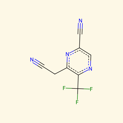 N#CCc1nc(C#N)cnc1C(F)(F)F